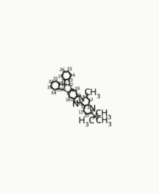 Cc1cc2nc(C(C)(C)C)ccc2c2nc3cc4c(cc3n12)C1c2ccccc2C12c1ccccc1C42